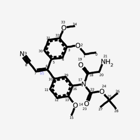 CCOc1cc(/C(=C\C#N)c2ccc(OC)c(N(C(=O)CN)C(=O)OC(C)(C)C)c2)ccc1OC